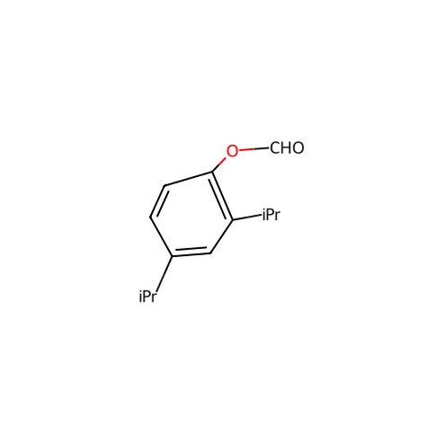 CC(C)c1ccc(OC=O)c(C(C)C)c1